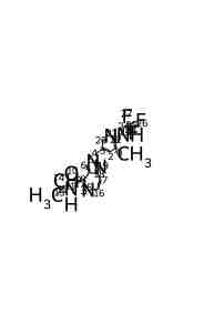 Cc1cc(Cn2cc3c(C(=O)NC(C)C)nccc3n2)cnc1NCC(F)(F)F